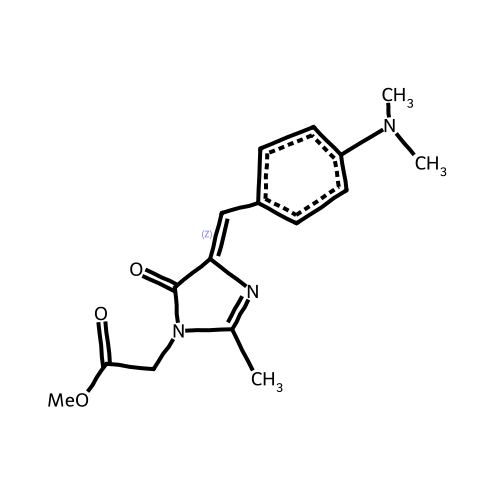 COC(=O)CN1C(=O)/C(=C/c2ccc(N(C)C)cc2)N=C1C